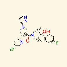 C[C@@H]1CN(C(=O)[C@@H]2CN(c3cccnn3)C[C@H]2c2ccc(Cl)cn2)C[C@H](C)C1(O)c1ccc(F)cc1